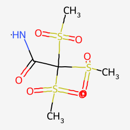 CS(=O)(=O)C(C([NH])=O)(S(C)(=O)=O)S(C)(=O)=O